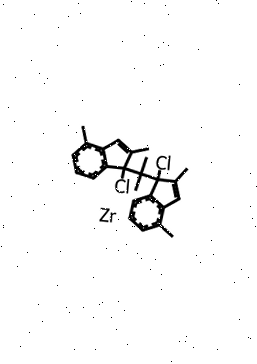 CC1=Cc2c(C)cccc2C1(Cl)C(C)(C)C1(Cl)C(C)=Cc2c(C)cccc21.[Zr]